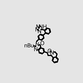 CCCCc1nc2ccc(C3CC4c5ccccc5CCN4O3)cc2c(=O)n1Cc1ccc(-c2ccccc2-c2nnn[nH]2)cc1